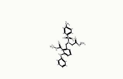 COC(=O)CN(Cc1cccc(Oc2ccccc2)c1C(=O)OC)S(=O)(=O)c1ccc(C)cc1